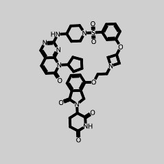 O=C1CCC(N2Cc3c(OCCN4CC(Oc5cccc(S(=O)(=O)N6CCC(Nc7ncc8ccc(=O)n(C9CCCC9)c8n7)CC6)c5)C4)cccc3C2=O)C(=O)N1